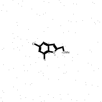 COCc1cc2cc(Cl)cc(C)c2o1